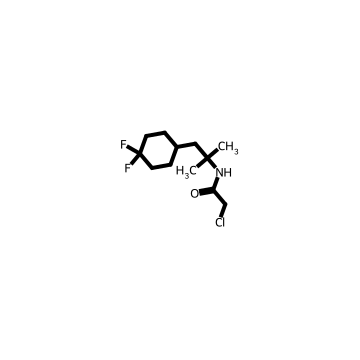 CC(C)(CC1CCC(F)(F)CC1)NC(=O)CCl